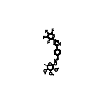 CO[C@@H]1[C@@H](OC)[C@H](C)O[C@@H](O/N=C/c2ccc(-c3cn(-c4nc(F)c(F)c(F)c4F)cn3)cc2)[C@@H]1OC